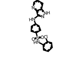 O=S(=O)(Nc1ccccc1Cl)c1ccc(Nc2n[nH]c3cccnc23)cc1